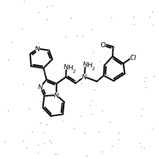 N/C(=C\N(N)Cc1ccc(Cl)c(C=O)c1)c1c(-c2ccncc2)nc2ccccn12